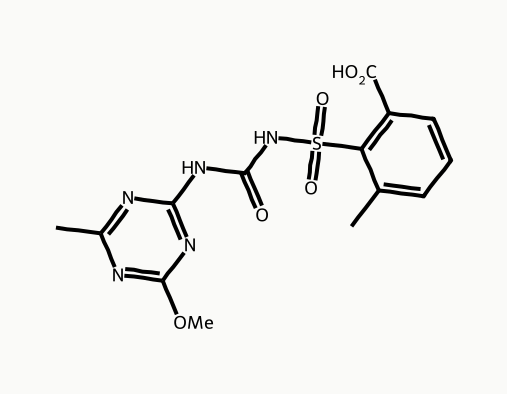 COc1nc(C)nc(NC(=O)NS(=O)(=O)c2c(C)cccc2C(=O)O)n1